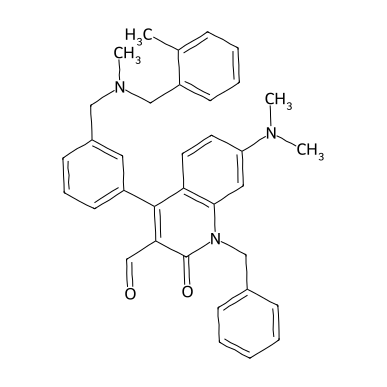 Cc1ccccc1CN(C)Cc1cccc(-c2c(C=O)c(=O)n(Cc3ccccc3)c3cc(N(C)C)ccc23)c1